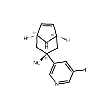 N#C[C@@]1(c2cncc(I)c2)C[C@H]2C=C[C@@H](C1)N2